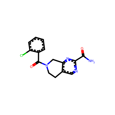 NC(=O)c1n[c]c2c(n1)CN(C(=O)c1ccccc1Cl)CC2